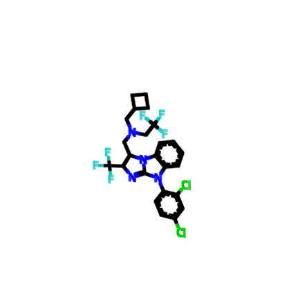 FC(F)(F)CN(CC1CCC1)CC1C(C(F)(F)F)N=C2N(c3ccc(Cl)cc3Cl)c3ccccc3N21